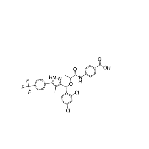 Cc1c(C(OC(C)C(=O)Nc2ccc(C(=O)O)cc2)c2ccc(Cl)cc2Cl)n[nH]c1-c1ccc(C(F)(F)F)cc1